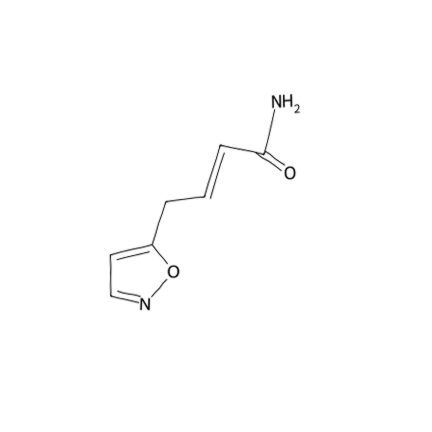 NC(=O)C=CCc1ccno1